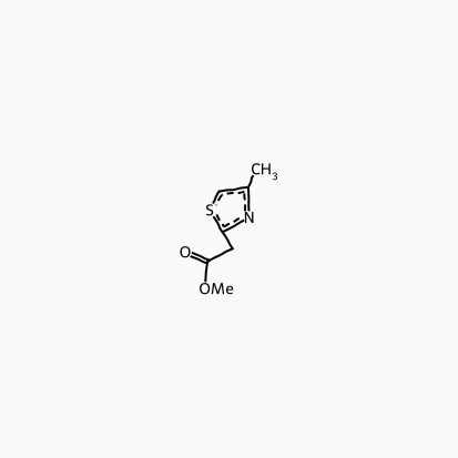 COC(=O)Cc1nc(C)cs1